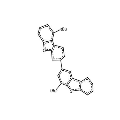 CC(C)(C)c1cc(-c2ccc3c(c2)oc2cccc(C(C)(C)C)c23)cc2c1sc1ccccc12